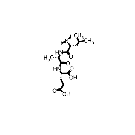 CC(C)C[C@H](C(=O)N[C@@H](C)C(=O)N[C@@H](CCC(=O)O)C(=O)O)N(I)I